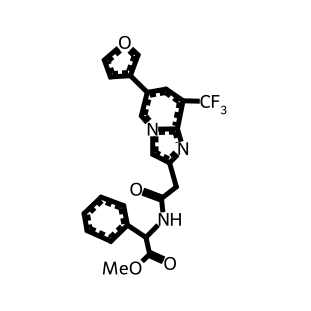 COC(=O)C(NC(=O)Cc1cn2cc(-c3ccoc3)cc(C(F)(F)F)c2n1)c1ccccc1